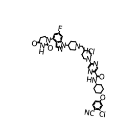 Cl.N#Cc1ccc(O[C@H]2CC[C@H](NC(=O)c3cnc(N4CCC(CN5CCC(n6ncc7c(N8CCC(=O)NC8=O)cc(F)cc76)CC5)CC4)cn3)CC2)cc1Cl